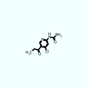 BC(=O)Nc1cc(Cl)c(C(=O)CC)cn1